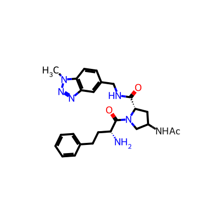 CC(=O)NC1C[C@@H](C(=O)NCc2ccc3c(c2)nnn3C)N(C(=O)[C@H](N)CCc2ccccc2)C1